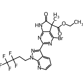 CCOC(=O)C1(C)C(=O)Nc2nc(-c3nn(CCC(F)(F)C(F)(F)F)c4ncccc34)nc(Br)c21